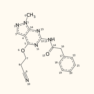 Cn1ncc2c(OCCC#N)nc(NC(=O)Cc3ccccc3)nc21